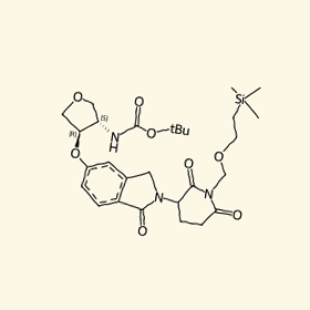 CC(C)(C)OC(=O)N[C@H]1COC[C@@H]1Oc1ccc2c(c1)CN(C1CCC(=O)N(COCC[Si](C)(C)C)C1=O)C2=O